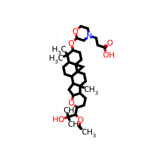 CCOC(C1CCC2C(CC3C4CCC5C(C)(C)C(OC6CN(CCC(=O)O)CCO6)CCC56CC46CCC23C)O1)C(C)(C)O